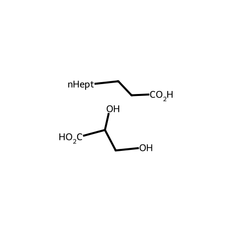 CCCCCCCCCC(=O)O.O=C(O)C(O)CO